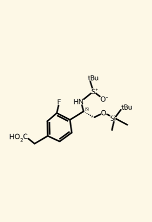 CC(C)(C)[S+]([O-])N[C@H](CO[Si](C)(C)C(C)(C)C)c1ccc(CC(=O)O)cc1F